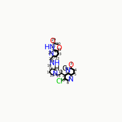 Cn1c(=O)ccc2ncc(Cl)c(CCN3CC[C@H](CNCc4ccc5c(n4)NC(=O)CO5)C3)c21